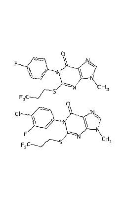 Cn1cnc2c(=O)n(-c3ccc(Cl)c(F)c3)c(SCCC(F)(F)F)nc21.Cn1cnc2c(=O)n(-c3ccc(F)cc3)c(SCCC(F)(F)F)nc21